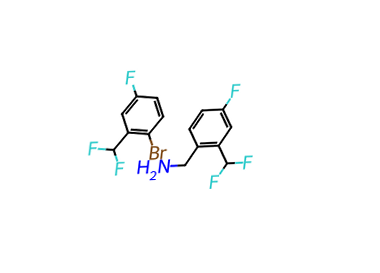 Fc1ccc(Br)c(C(F)F)c1.NCc1ccc(F)cc1C(F)F